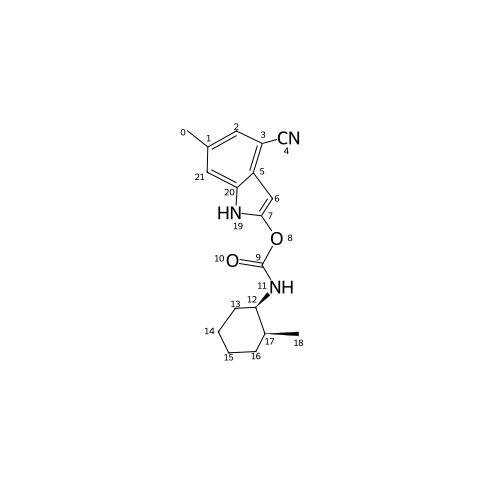 Cc1cc(C#N)c2cc(OC(=O)N[C@@H]3CCCC[C@@H]3C)[nH]c2c1